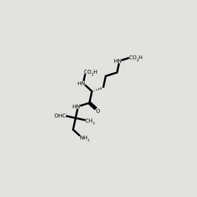 CC(C=O)(CN)NC(=O)[C@@H](CCCNC(=O)O)NC(=O)O